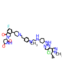 CN(CCN[C@H]1CC[C@H](Nc2ncc(Cl)c(-c3cnn(C)c3CC3CC3)n2)CC1)c1ccc(CCN2CCC(c3cc(F)cc4c3CN(C3CCC(=O)NC3=O)C4=O)CC2)cc1